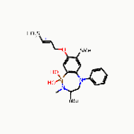 CCCCC1CN(c2ccccc2)c2cc(SC)c(OC/C=C/S(=O)(=O)O)cc2S(O)(O)N1C